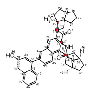 CCOC(=O)CNC(=O)N1[C@@H]2CC[C@H]1CN(c1nc(OCC34CCCN3CCC4)nc3cc(-c4cc(O)cc5ccccc45)ccc13)C2